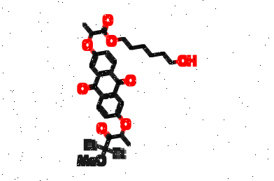 CCC(CC)(OC)C(=O)C(C)Oc1ccc2c(c1)C(=O)c1ccc(OC(C)C(=O)OCCCCCCO)cc1C2=O